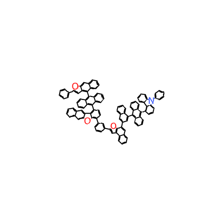 c1ccc(-c2cc3c(-c4c5ccccc5c(-c5ccc(-c6cccc(-c7cc8c(o7)c(-c7cc(-c9c%10ccccc%10c(-c%10cccc%11c%10c%10ccccc%10n%11-c%10ccccc%10)c%10ccccc9%10)c9ccccc9c7)cc7ccccc78)c6)c6oc7cc8ccccc8cc7c56)c5ccccc45)c4ccccc4cc3o2)cc1